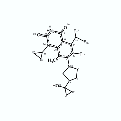 Cc1c(N2CCC(C3(O)CC3)C2)c(F)c(C(F)F)c2c(=O)[nH]c(=O)n(C3CC3)c12